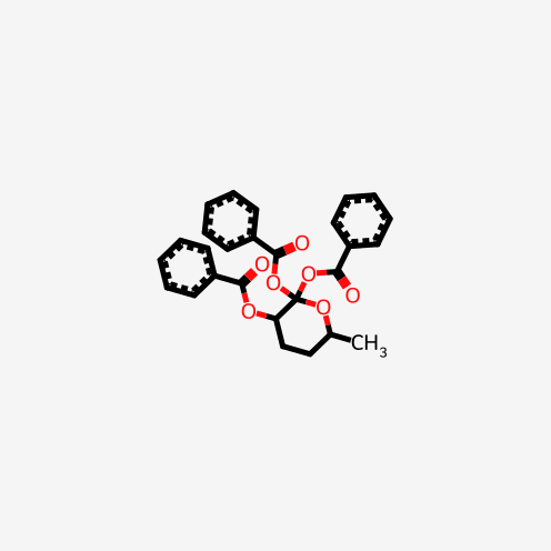 CC1CCC(OC(=O)c2ccccc2)C(OC(=O)c2ccccc2)(OC(=O)c2ccccc2)O1